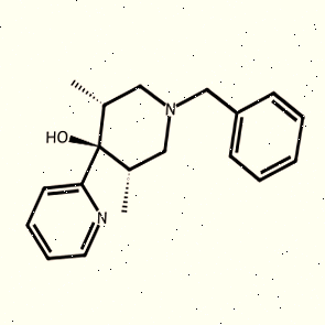 C[C@@H]1CN(Cc2ccccc2)C[C@H](C)[C@]1(O)c1ccccn1